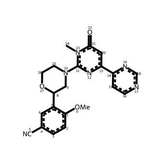 COc1ccc(C#N)cc1C1CN(c2nc(-c3ccncn3)cc(=O)n2C)CCO1